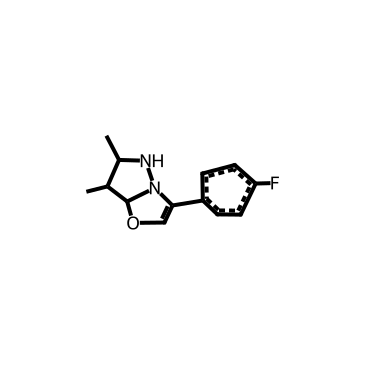 CC1NN2C(c3ccc(F)cc3)=COC2C1C